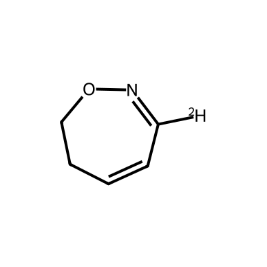 [2H]C1=NOCCC=C1